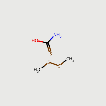 CSSC.NC(O)=S